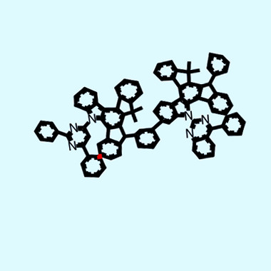 CC1(C)c2ccccc2-c2c1c1c(c3c2c2ccccc2n3-c2cc(-c3ccccc3)nc(-c3ccccc3)n2)-c2ccccc2C1c1cccc(-c2ccc3c4c5c(c6c(c4n(-c4nc(-c7ccccc7)c7ccccc7n4)c3c2)-c2ccccc2C6c2ccccc2)C(C)(C)c2ccccc2-5)c1